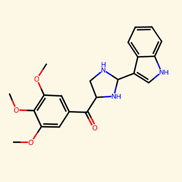 COc1cc(C(=O)C2CNC(c3c[nH]c4ccccc34)N2)cc(OC)c1OC